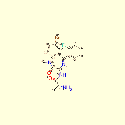 C[C@H](N)C(=O)NC1N=C(c2ccccc2F)c2cc(Br)ccc2N(C)C1=O